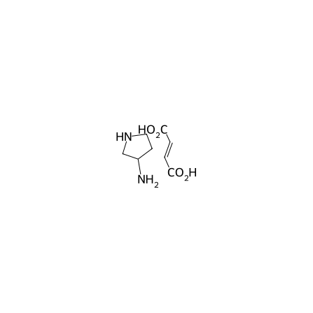 NC1CCNC1.O=C(O)C=CC(=O)O